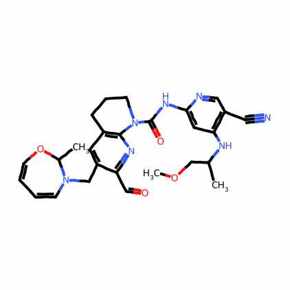 COCC(C)Nc1cc(NC(=O)N2CCCc3cc(CN4C=CC=COC4C)c(C=O)nc32)ncc1C#N